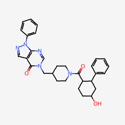 O=C(C1CCC(O)CC1c1ccccc1)N1CCC(Cn2cnc3c(cnn3-c3ccccc3)c2=O)CC1